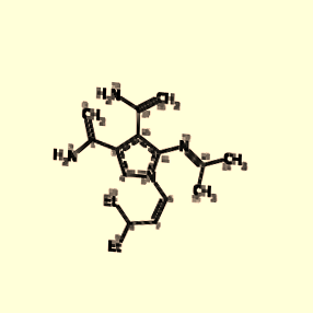 C=C(N)c1cn(/C=C\C(CC)CC)c(N=C(C)C)c1C(=C)N